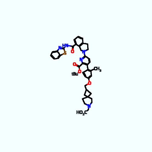 Cc1cc(OCC2CC3(CCN(CC(=O)O)CC3)C2)ccc1-c1ccc(N2CCc3cccc(C(=O)Nc4nc5ccccc5s4)c3C2)nc1C(=O)OC(C)(C)C